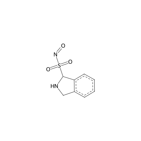 O=NS(=O)(=O)C1NCc2ccccc21